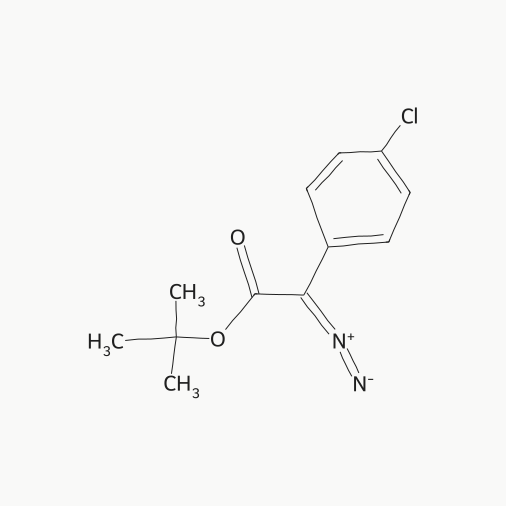 CC(C)(C)OC(=O)C(=[N+]=[N-])c1ccc(Cl)cc1